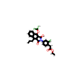 CCCc1c2c(c(OC(F)F)c3ccccc13)C(=O)N(c1ccc(CC(=O)OCC)c(F)c1)C2=O